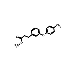 Cc1ccc(Oc2cccc(CCC(=O)ON)c2)cc1